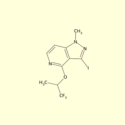 CC(Oc1nccc2c1c(I)nn2C)C(F)(F)F